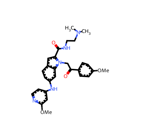 COc1ccc(C(=O)Cn2c(C(=O)NCCN(C)C)cc3ccc(Nc4ccnc(OC)c4)cc32)cc1